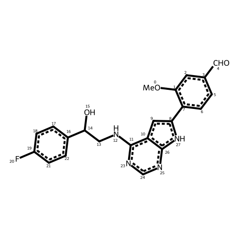 COc1cc(C=O)ccc1-c1cc2c(NCC(O)c3ccc(F)cc3)ncnc2[nH]1